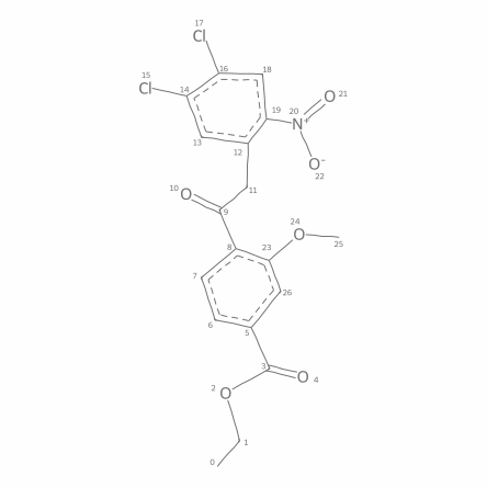 CCOC(=O)c1ccc(C(=O)Cc2cc(Cl)c(Cl)cc2[N+](=O)[O-])c(OC)c1